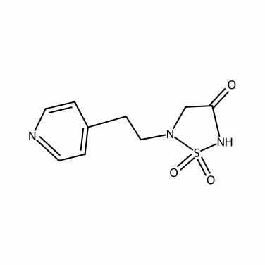 O=C1CN(CCc2ccncc2)S(=O)(=O)N1